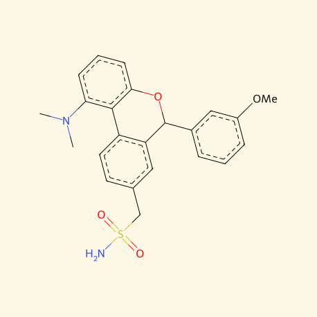 COc1cccc(C2Oc3cccc(N(C)C)c3-c3ccc(CS(N)(=O)=O)cc32)c1